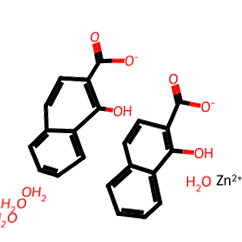 O.O.O.O.O=C([O-])c1ccc2ccccc2c1O.O=C([O-])c1ccc2ccccc2c1O.[Zn+2]